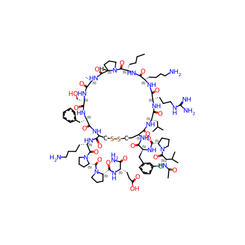 CCCC[C@@H]1NC(=O)[C@H](CCCCN)NC(=O)[C@H](CCCNC(=N)N)NC(=O)[C@H](CC(C)C)NC(=O)[C@@H](NC(=O)[C@H](Cc2cccc(Cl)c2)NC(=O)[C@@H]2CCCN2C(=O)[C@@H](NC(C)=O)C(C)C)CCSSCC(C(=O)N[C@@H](CCCCN)C(=O)N2CCC[C@H]2C(=O)N2CCC[C@H]2C(=O)N[C@@H](CCC(=O)O)C(N)=O)NC(=O)[C@H](Cc2ccccc2)NC(=O)[C@H](CO)NC(=O)[C@H](C)NC(=O)[C@@H]2CCCN2C1=O